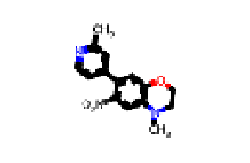 Cc1cc(-c2cc3c(cc2[N+](=O)[O-])N(C)CCO3)ccn1